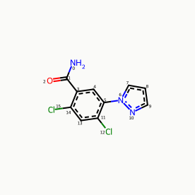 NC(=O)c1cc(-n2cccn2)c(Cl)cc1Cl